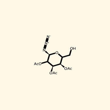 CC(=O)OC1[C@@H](N=[N+]=[N-])OC(CO)[C@@H](OC(C)=O)[C@H]1OC(C)=O